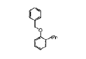 C[C](C)c1ccccc1OCc1ccccc1